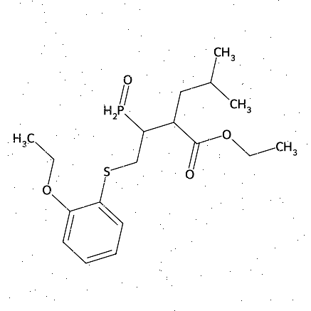 CCOC(=O)C(CC(C)C)C(CSc1ccccc1OCC)[PH2]=O